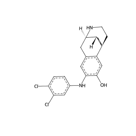 Oc1cc2c(cc1Nc1ccc(Cl)c(Cl)c1)C[C@H]1NCC[C@@]23CCCC[C@@H]13